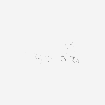 COc1ccc(C(C=O)c2ccc(OCc3cn(CC(O)(Cn4cncn4)c4ccc(F)cc4F)nn3)cc2)cc1